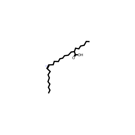 CCCCCCCC/C=C\CCCCCCCCC(CCCCCC)C(=O)O